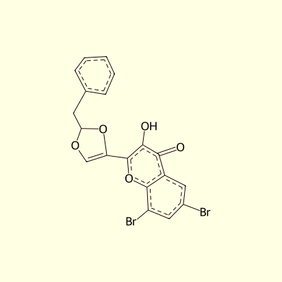 O=c1c(O)c(C2=COC(Cc3ccccc3)O2)oc2c(Br)cc(Br)cc12